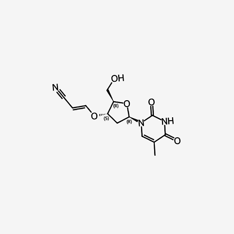 Cc1cn([C@H]2C[C@H](OC=CC#N)[C@@H](CO)O2)c(=O)[nH]c1=O